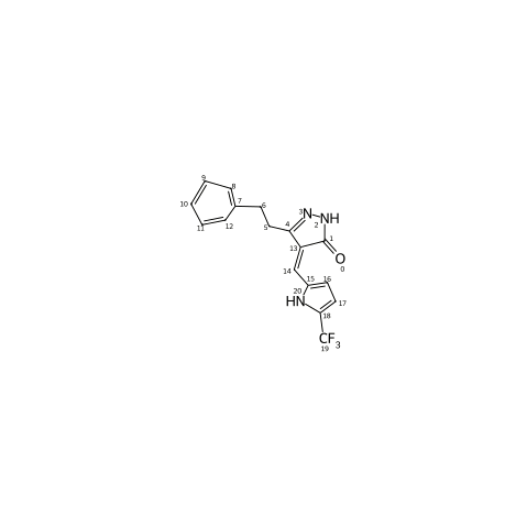 O=C1NN=C(CCc2ccccc2)/C1=C/c1ccc(C(F)(F)F)[nH]1